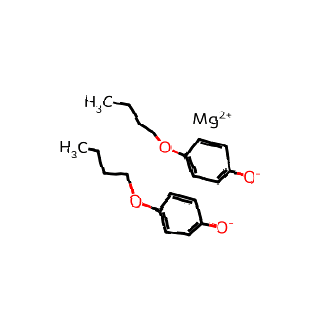 CCCCOc1ccc([O-])cc1.CCCCOc1ccc([O-])cc1.[Mg+2]